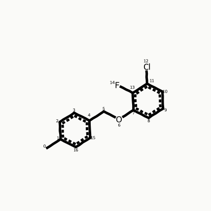 Cc1ccc(COc2cccc(Cl)c2F)cc1